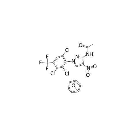 CC(=O)Nc1nn(-c2c(Cl)cc(C(F)(F)F)c(Cl)c2Cl)cc1[N+](=O)[O-].c1cc2cc(c1)O2